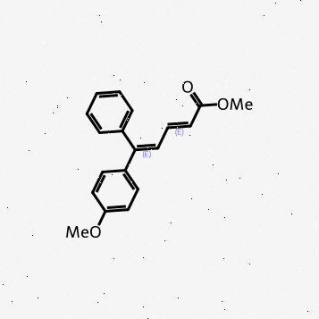 COC(=O)/C=C/C=C(\c1ccccc1)c1ccc(OC)cc1